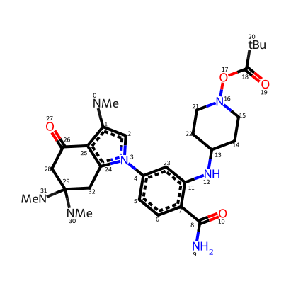 CNc1cn(-c2ccc(C(N)=O)c(NC3CCN(OC(=O)C(C)(C)C)CC3)c2)c2c1C(=O)CC(NC)(NC)C2